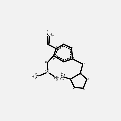 C=Cc1ccc(CC2CCCC2C)cc1CN(C)N